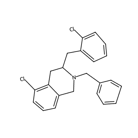 Clc1ccccc1CC1Cc2c(Cl)cccc2CN1Cc1ccccc1